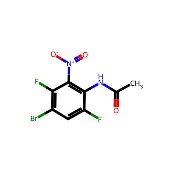 CC(=O)Nc1c(F)cc(Br)c(F)c1[N+](=O)[O-]